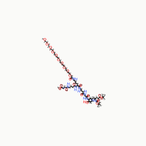 COCCOCCOCCOCCOCCOCCOCCOCCOCCOCC(=O)NCCCC[C@H](NC(=O)CCCNC(=O)/C=C/C(=O)OC)C(=O)NCCCC(=O)NCC(=O)Nc1cc(C[C@@H](CCC(=O)OC(C)(C)C)NC(=O)OC(C)(C)C)ccc1O